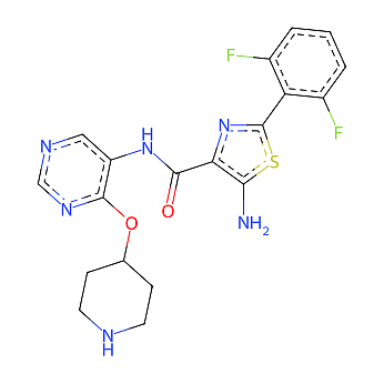 Nc1sc(-c2c(F)cccc2F)nc1C(=O)Nc1cncnc1OC1CCNCC1